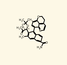 CC(=O)[C@@H](OC(C)(C)C)c1c(C)cc2cc(C(N)=O)ccc2c1-c1ccc2c3c(ccnc13)CCO2